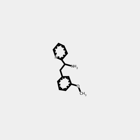 COc1cccc(CC(N)c2ccccn2)c1